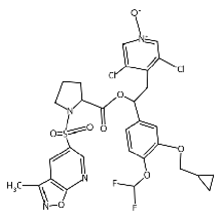 Cc1noc2ncc(S(=O)(=O)N3CCCC3C(=O)OC(Cc3c(Cl)c[n+]([O-])cc3Cl)c3ccc(OC(F)F)c(OCC4CC4)c3)cc12